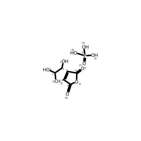 CC(O)CO.O=C1C=CC(=O)O1.O=P(O)(O)O